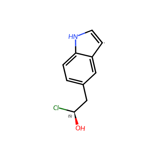 O[C@@H](Cl)Cc1ccc2[nH]c[c]c2c1